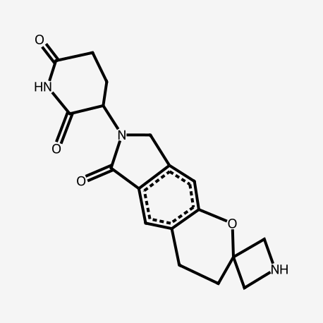 O=C1CCC(N2Cc3cc4c(cc3C2=O)CCC2(CNC2)O4)C(=O)N1